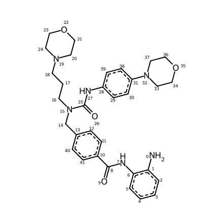 Nc1ccccc1NC(=O)c1ccc(CN(CCCN2CCOCC2)C(=O)Nc2ccc(N3CCOCC3)cc2)cc1